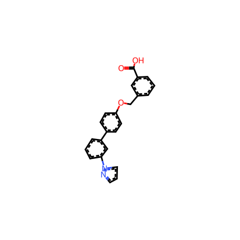 O=C(O)c1cccc(COc2ccc(-c3cccc(-n4cccn4)c3)cc2)c1